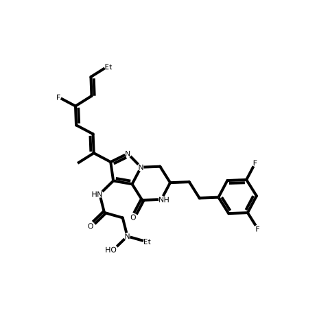 CC/C=C/C(F)=C\C=C(/C)c1nn2c(c1NC(=O)CN(O)CC)C(=O)NC(CCc1cc(F)cc(F)c1)C2